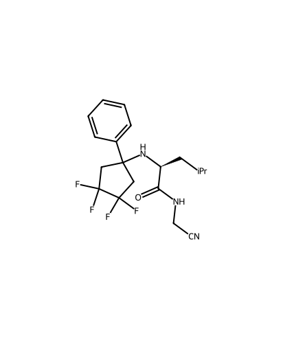 CC(C)C[C@H](NC1(c2ccccc2)CC(F)(F)C(F)(F)C1)C(=O)NCC#N